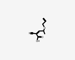 C=CCOC(C)C=C(C#N)C(=O)O